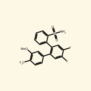 COc1cc(-c2cc(F)c(F)cc2-c2ccccc2S(N)(=O)=O)ccc1C(F)(F)F